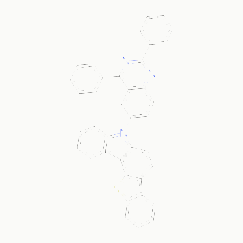 c1ccc(-c2nc(-c3ccccc3)c3cc(-n4c5ccccc5c5c6sc7ccccc7c6ccc54)ccc3n2)cc1